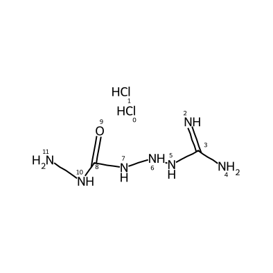 Cl.Cl.N=C(N)NNNC(=O)NN